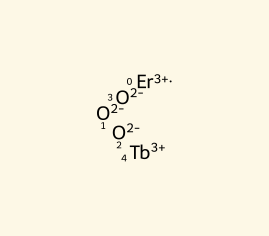 [Er+3].[O-2].[O-2].[O-2].[Tb+3]